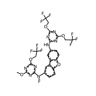 COc1nc(OCC(F)(F)F)nc(N(F)c2ccc3oc4ccc(Nc5nc(OCC(F)(F)F)nc(OCC(F)(F)F)n5)cc4c3c2)n1